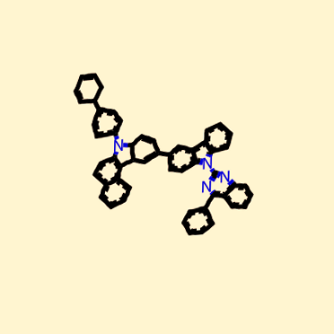 C1=CCC(c2ccc(N3c4ccc5ccccc5c4C4C=C(c5ccc6c(c5)c5ccccc5n6-c5nc(-c6ccccc6)c6ccccc6n5)C=CC43)cc2)C=C1